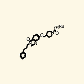 CC(C)(C)OC(=O)N1CCC(COc2ccc3c(=O)n(CCCc4ccccc4)cnc3c2)CC1